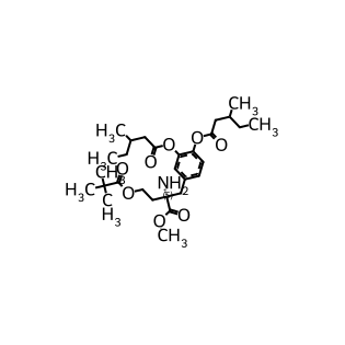 CCC(C)CC(=O)Oc1ccc(C[C@](N)(CCOC(=O)C(C)(C)C)C(=O)OC)cc1OC(=O)CC(C)CC